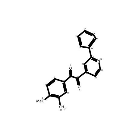 COc1ccc(C(=O)C(=O)c2ccnc(-c3ccccc3)c2)cc1C